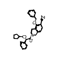 N#Cc1ccc2c(c1OCc1ccccc1)CCN(C(=O)C(OC1CCCC1)c1ccccc1)C2